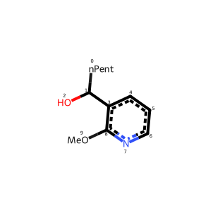 CCCCCC(O)c1cccnc1OC